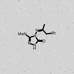 CNc1n[nH]c(=O)n1N=C(C)CC(C)C